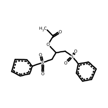 CC(=O)OC(CS(=O)(=O)c1ccccc1)CS(=O)(=O)c1ccccc1